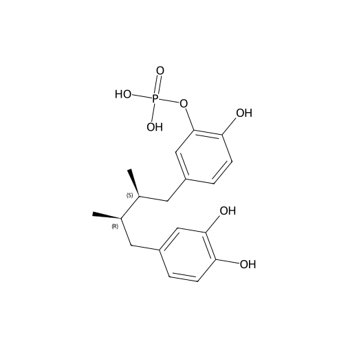 C[C@H](Cc1ccc(O)c(O)c1)[C@@H](C)Cc1ccc(O)c(OP(=O)(O)O)c1